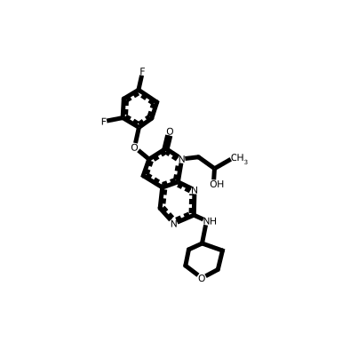 CC(O)Cn1c(=O)c(Oc2ccc(F)cc2F)cc2cnc(NC3CCOCC3)nc21